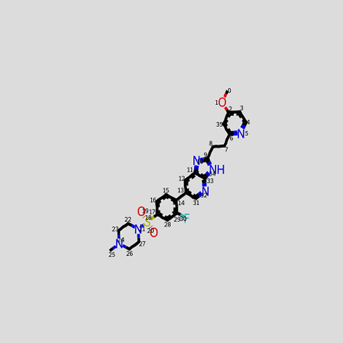 COc1ccnc(CCc2nc3cc(-c4ccc(S(=O)(=O)N5CCN(C)CC5)cc4F)cnc3[nH]2)c1